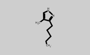 [CH2]CCCCc1n[nH]cc1C